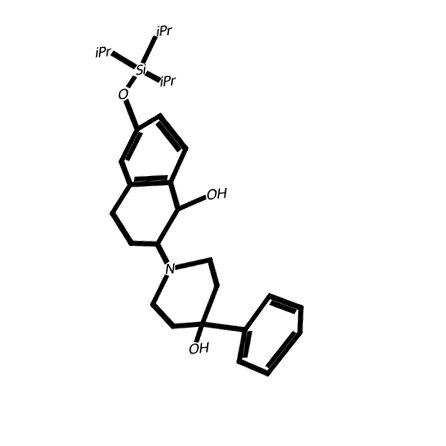 CC(C)[Si](Oc1ccc2c(c1)CCC(N1CCC(O)(c3ccccc3)CC1)C2O)(C(C)C)C(C)C